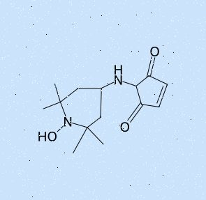 CC1(C)CC(NC2C(=O)C=CC2=O)CC(C)(C)N1O